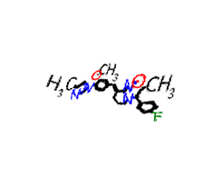 COc1cc(/C=C2\CCCN3C2=NOC(C)C3c2ccc(F)cc2)ccc1-n1cnc(C)c1